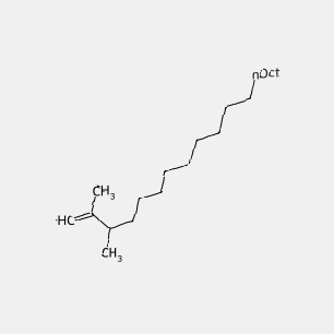 [CH]=C(C)C(C)CCCCCCCCCCCCCCCCC